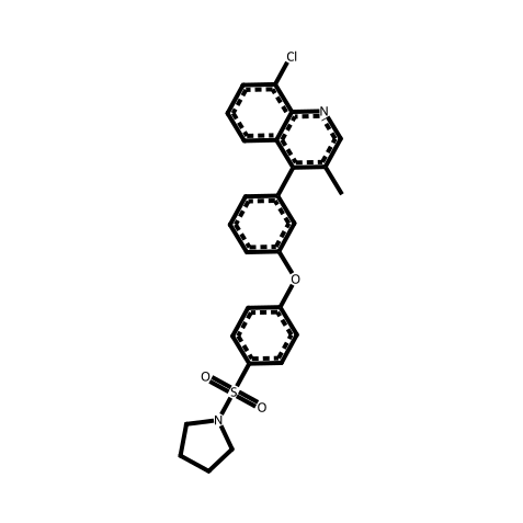 Cc1cnc2c(Cl)cccc2c1-c1cccc(Oc2ccc(S(=O)(=O)N3CCCC3)cc2)c1